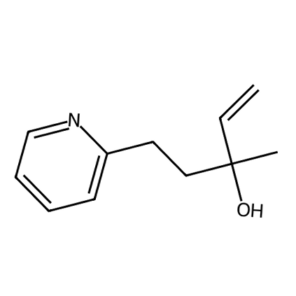 C=CC(C)(O)CCc1ccccn1